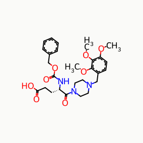 COc1ccc(CN2CCN(C(=O)[C@H](CCC(=O)O)NC(=O)OCc3ccccc3)CC2)c(OC)c1OC